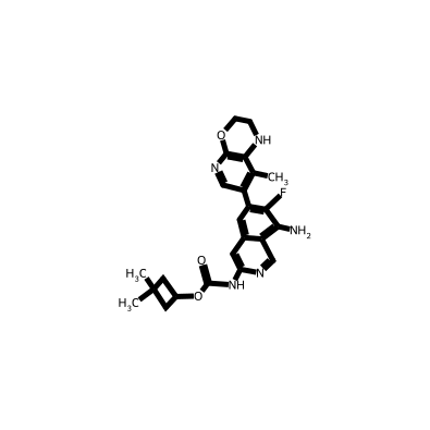 Cc1c(-c2cc3cc(NC(=O)OC4CC(C)(C)C4)ncc3c(N)c2F)cnc2c1NCCO2